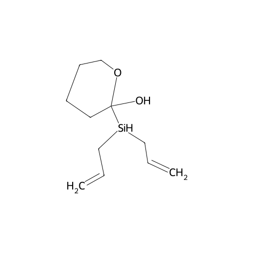 C=CC[SiH](CC=C)C1(O)CCCCO1